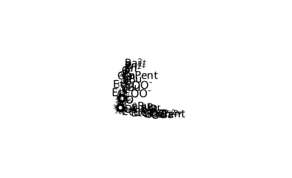 CCCCC(CC)C(=O)[O-].CCCCC(CC)C(=O)[O-].CCCCC(CC)C(=O)[O-].CCCCC(CC)C(=O)[O-].CCCCCOP([O-])[O-].CCCCCOP([O-])[O-].[Ba+2].[Ba+2].[O-]c1ccccc1.[O-]c1ccccc1.[Zn+2].[Zn+2].[Zn+2]